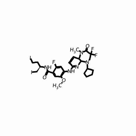 COc1cc(C(=O)N[C@@H](CI)CCI)c(F)cc1NC1=NC2C(C=C1)N(C)C(=O)C(F)(F)CN2C1CCCC1